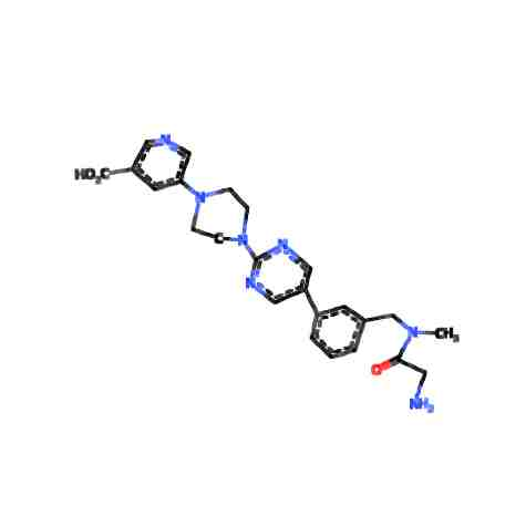 CN(Cc1cccc(-c2cnc(N3CCN(c4cncc(C(=O)O)c4)CC3)nc2)c1)C(=O)CN